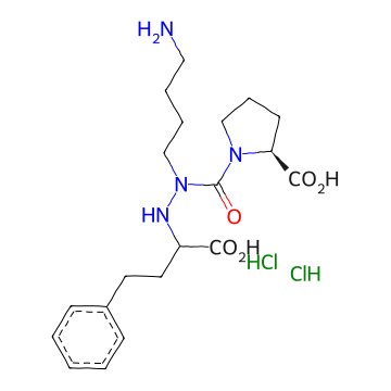 Cl.Cl.NCCCCN(NC(CCc1ccccc1)C(=O)O)C(=O)N1CCC[C@H]1C(=O)O